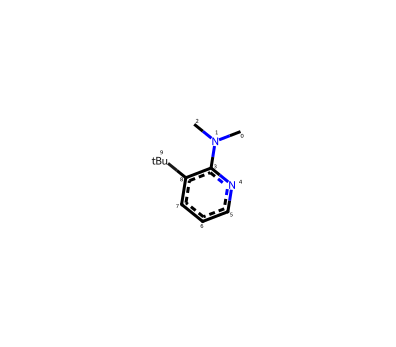 CN(C)c1ncccc1C(C)(C)C